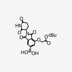 CC(C)(C)OC(=O)COc1cc(B(O)O)cc2c1C(=O)N(C1CCC(=O)NC1=O)C2=O